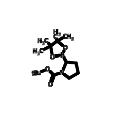 CC(C)(C)OC(=O)N1CCCC1B1OC(C)(C)C(C)(C)O1